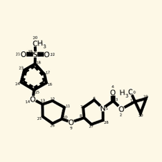 CC1(OC(=O)N2CCC(OC3CCC(Oc4ccc(S(C)(=O)=O)cc4)CC3)CC2)CC1